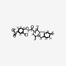 CC1CN(C(=O)COc2ccc([N+](=O)[O-])cc2Cl)C(C)CN1Cc1ccc(F)cc1